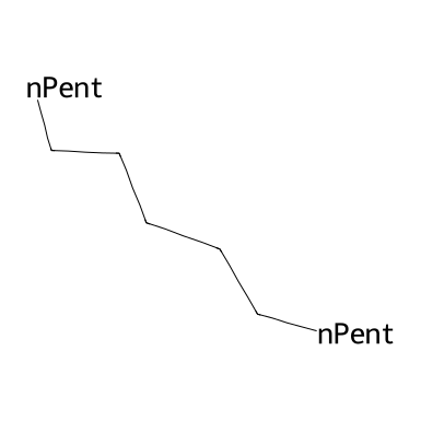 CCC[CH]CCCCCCCCCCC